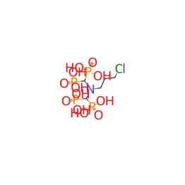 O=P(O)(O)C(N(CCCCl)C(P(=O)(O)O)P(=O)(O)O)P(=O)(O)O